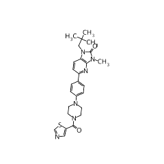 Cn1c(=O)n(CC(C)(C)C)c2ccc(-c3ccc(N4CCN(C(=O)c5cncs5)CC4)cc3)nc21